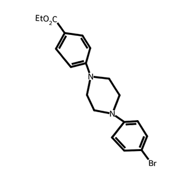 CCOC(=O)c1ccc(N2CCN(c3ccc(Br)cc3)CC2)cc1